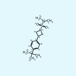 CN(C)S(=O)(=O)N1CC(c2ccc(C(C)(C)C)cc2)C1